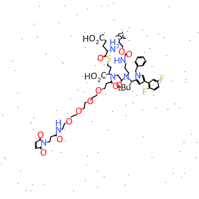 CC(C)(C)[C@H](c1cc(-c2cc(F)ccc2F)cn1Cc1ccccc1)N(CCCNC(=O)OCC[Si](C)(C)C)C(=O)CN(C(=O)CCOCCOCCOCCOCCNC(=O)CCN1C(=O)C=CC1=O)[C@H](CCSC(=O)[C@@H](N)CCC(=O)O)C(=O)O